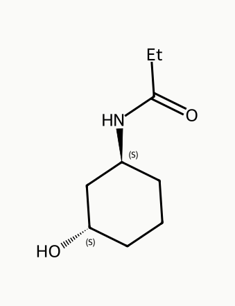 CCC(=O)N[C@H]1CCC[C@H](O)C1